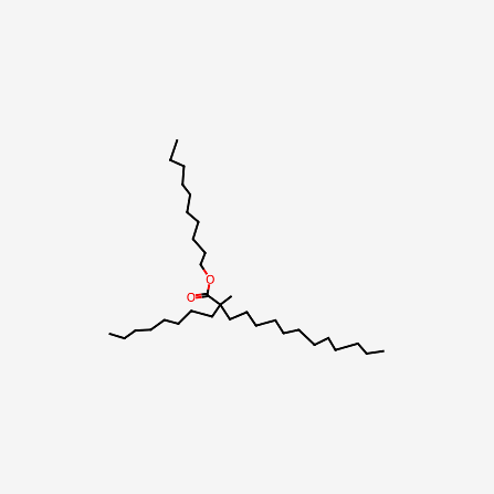 CCCCCCCCCCCCC(C)(CCCCCCCC)C(=O)OCCCCCCCCCC